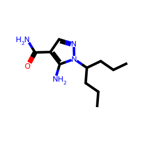 CCCC(CCC)n1ncc(C(N)=O)c1N